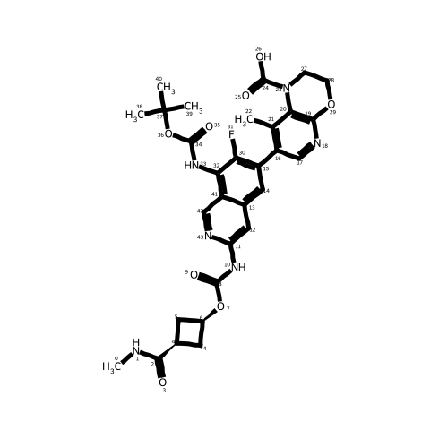 CNC(=O)[C@H]1C[C@@H](OC(=O)Nc2cc3cc(-c4cnc5c(c4C)N(C(=O)O)CCO5)c(F)c(NC(=O)OC(C)(C)C)c3cn2)C1